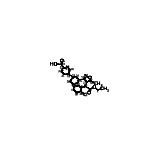 CCOC(=O)N(c1ccccc1Cl)c1c(-c2cccc(-c3ccc(C(=O)O)nc3)c2)noc1C